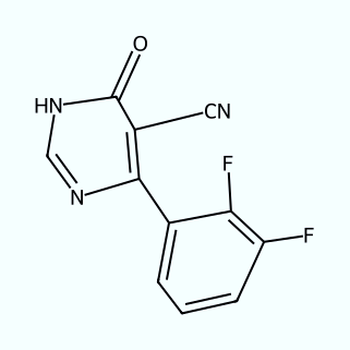 N#Cc1c(-c2cccc(F)c2F)nc[nH]c1=O